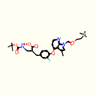 Cc1cn(COCC[Si](C)(C)C)c2nccc(Oc3ccc(CC(CNC(=O)OC(C)(C)C)C(=O)O)cc3F)c12